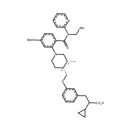 COc1ccc(C(=O)N(CC(C)(C)C)c2ccccn2)c(N2CC[C@@H](COc3cccc(CC(C(=O)O)C4CC4)c3)[C@@H](C)C2)c1